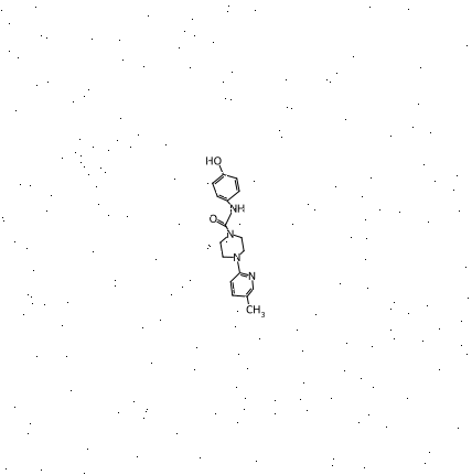 Cc1ccc(N2CCN(C(=O)Nc3ccc(O)cc3)CC2)nc1